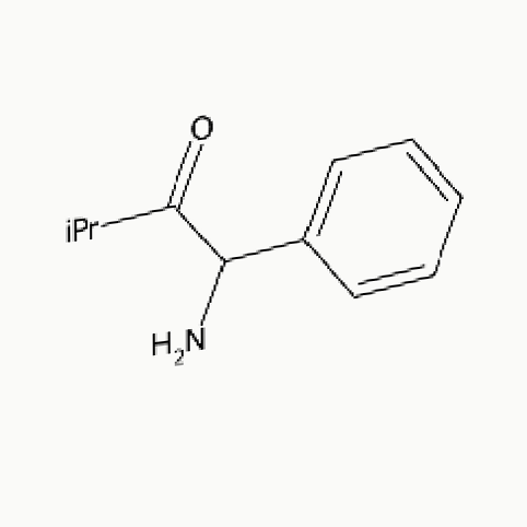 CC(C)C(=O)C(N)c1ccccc1